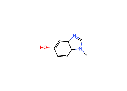 CN1C=NC2C=C(O)C=CC21